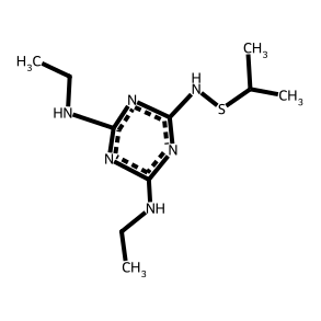 CCNc1nc(NCC)nc(NSC(C)C)n1